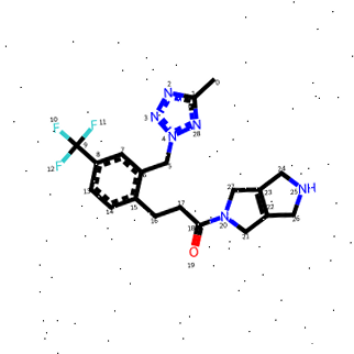 Cc1nnn(Cc2cc(C(F)(F)F)ccc2CCC(=O)N2CC3=C(CNC3)C2)n1